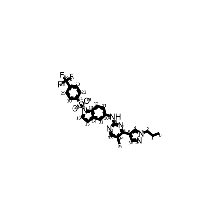 CCCn1cc(-c2nc(Nc3ccc4c(ccn4S(=O)(=O)c4ccc(C(F)(F)F)cc4)c3)ncc2C)cn1